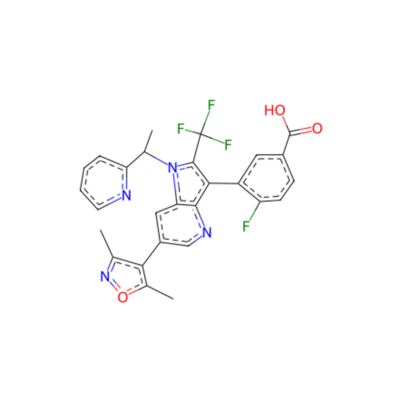 Cc1noc(C)c1-c1cnc2c(-c3cc(C(=O)O)ccc3F)c(C(F)(F)F)n(C(C)c3ccccn3)c2c1